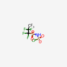 O=S(=O)(Cl)NS(=O)(=O)C(F)(F)C(F)(F)C(F)(F)F